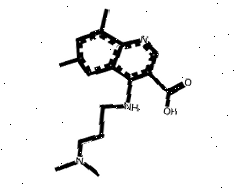 Cc1cc(C)c2ncc(C(=O)O)c(NCCCN(C)C)c2c1